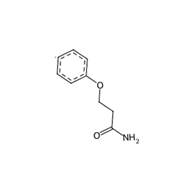 NC(=O)CCOc1cc[c]cc1